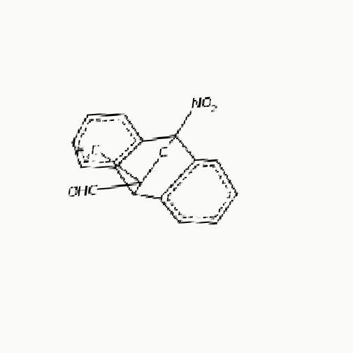 CC1(C=O)CC2([N+](=O)[O-])c3ccccc3C1c1ccccc12